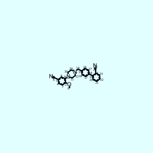 COc1ccc(C#N)cc1N1CCN(Cc2ccc(-c3ccccc3C#N)cc2)CC1